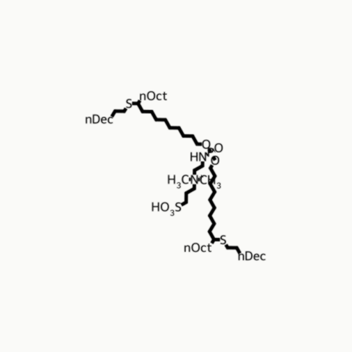 CCCCCCCCCCCCSC(CCCCCCCC)CCCCCCCCCOP(=O)(NCC[N+](C)(C)CCCS(=O)(=O)O)OCCCCCCCCCC(CCCCCCCC)SCCCCCCCCCCCC